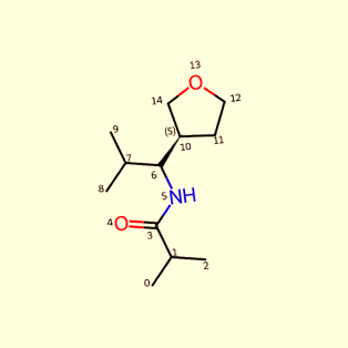 CC(C)C(=O)NC(C(C)C)[C@@H]1CCOC1